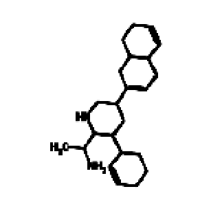 CC(N)C1NCC(C2=CCC3C=CCCC3C2)CC1C1C=CCCC1